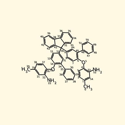 Cc1ccc(Oc2ccc(C3(c4ccc(Oc5ccc(C)cc5N)c(-c5ccccc5)c4)c4ccccc4-c4ccccc43)cc2-c2ccccc2)c(N)c1